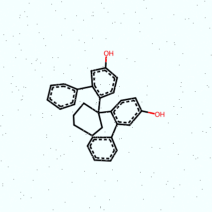 Oc1ccc(C2(c3ccc(O)cc3-c3ccccc3)CCCCC2)c(-c2ccccc2)c1